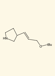 CC(C)(C)OC/C=C/C1CCNC1